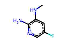 CNc1cc(F)cnc1N